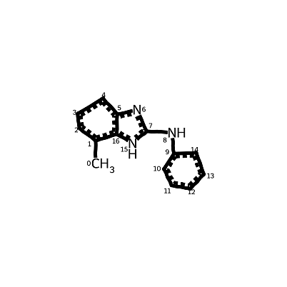 Cc1cccc2nc(Nc3ccccc3)[nH]c12